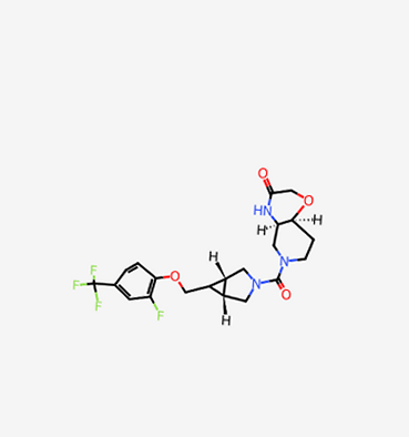 O=C1CO[C@H]2CCN(C(=O)N3C[C@@H]4C(COc5ccc(C(F)(F)F)cc5F)[C@@H]4C3)C[C@H]2N1